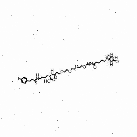 O=C(CCCC[C@H]1SC[C@H]2NC(=O)N[C@H]21)NCCOCCOCCOCCOCCC(=O)N[C@@H](CCCCNC(=S)CCc1ccc(I)cc1)C(=O)O